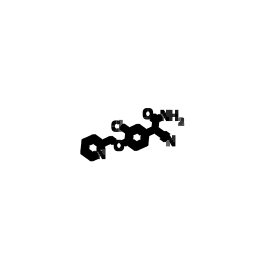 N#CC(C(N)=O)c1ccc(OCc2ccccn2)c(Cl)c1